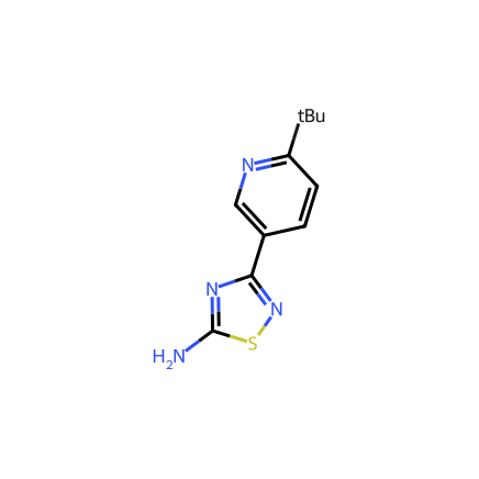 CC(C)(C)c1ccc(-c2nsc(N)n2)cn1